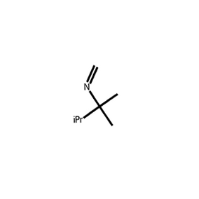 C=NC(C)(C)C(C)C